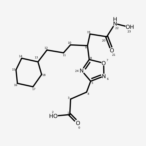 O=C(O)CCc1noc(C(CCCC2CCCCC2)CC(=O)NO)n1